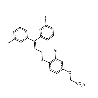 O=C(O)COc1ccc(SCC=C(c2cccc(I)c2)c2cccc(I)c2)c(Br)c1